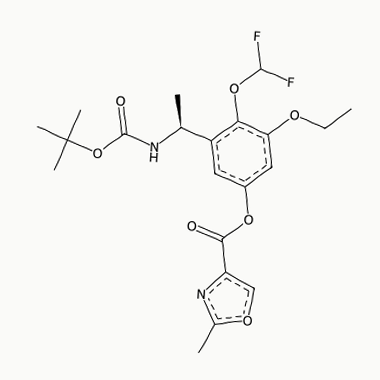 CCOc1cc(OC(=O)c2coc(C)n2)cc([C@H](C)NC(=O)OC(C)(C)C)c1OC(F)F